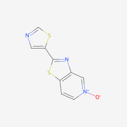 [O-][n+]1ccc2sc(-c3cncs3)nc2c1